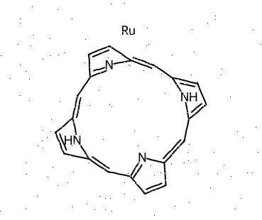 C1=Cc2cc3ccc(cc4nc(cc5ccc(cc1n2)[nH]5)C=C4)[nH]3.[Ru]